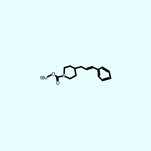 CC(C)(C)OC(=O)N1CCC(C/C=C/c2ccccc2)CC1